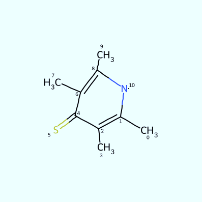 CC1=C(C)C(=S)C(C)=C(C)[N]1